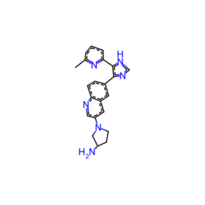 Cc1cccc(-c2[nH]cnc2-c2ccc3ncc(N4CC[C@@H](N)C4)cc3c2)n1